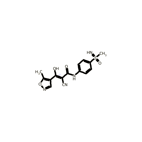 Cc1oncc1/C(O)=C(\C#N)C(=O)Nc1ccc(S(C)(=N)=O)cc1